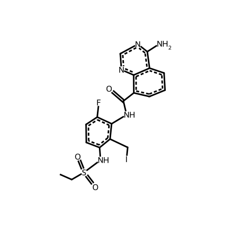 CCS(=O)(=O)Nc1ccc(F)c(NC(=O)c2cccc3c(N)ncnc23)c1CI